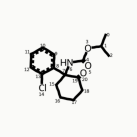 CC(C)OC(=O)NC1(c2ccccc2Cl)CCCCC1=O